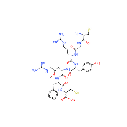 COC(CNC(=N)N)C[C@H](NC(=O)[C@@H](Cc1ccc(O)cc1)NC(=O)[C@H](CCCNC(=N)N)NC(=O)CNC(=O)[C@@H](N)CS)C(=O)N[C@@H](Cc1ccccc1)C(=O)N[C@@H](CS)C(=O)O